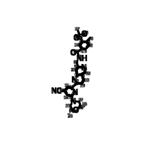 Cc1ccc(C(=O)NCc2cc3nc(-c4cc(C#N)cc(N5C[C@@H](C)O[C@@H](C)C5)n4)ccc3cn2)cc1S(C)(=O)=O